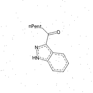 CCCCCC(=O)c1n[nH]c2ccccc12